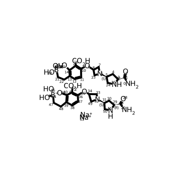 NC(=O)[C@H]1C[C@H](N2CC(Oc3ccc4c(c3C(=O)O)O[B-](O)(O)CC4)C2)CN1.NC(=O)[C@H]1C[C@H](N2CC(Oc3ccc4c(c3C(=O)O)O[B-](O)(O)CC4)C2)CN1.[Na+].[Na+]